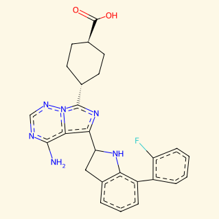 Nc1ncnn2c1c(C1Cc3cccc(-c4ccccc4F)c3N1)nc2[C@H]1CC[C@H](C(=O)O)CC1